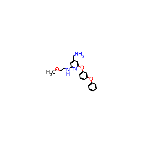 COCCNc1cc(CN)cc(Oc2cccc(Oc3ccccc3)c2)n1